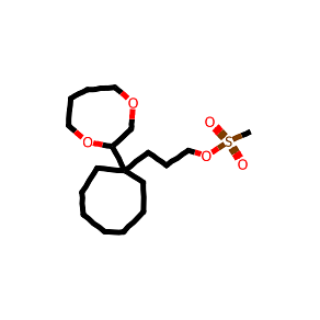 CS(=O)(=O)OCCCC1(C2COCCCCO2)CCCCCCC1